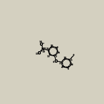 Cc1cccc(Oc2cccc([N+](=O)[O-])c2)c1